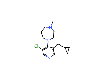 CN1CCCN(c2c(Cl)cncc2CC2CC2)CC1